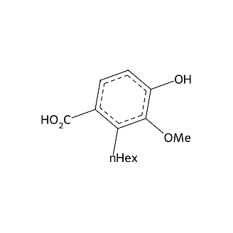 CCCCCCc1c(C(=O)O)ccc(O)c1OC